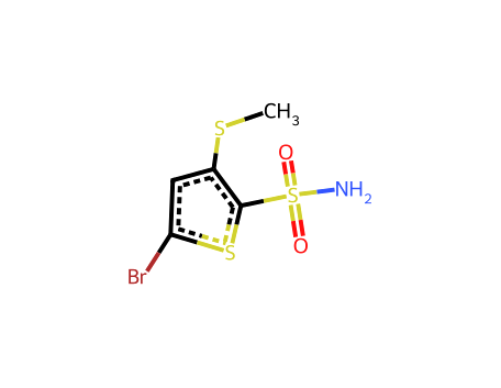 CSc1cc(Br)sc1S(N)(=O)=O